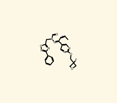 C/C=C\C(=N/N(C=O)Cc1nc(-c2ccccc2)no1)c1cnc(OCC2(F)COC2)nc1